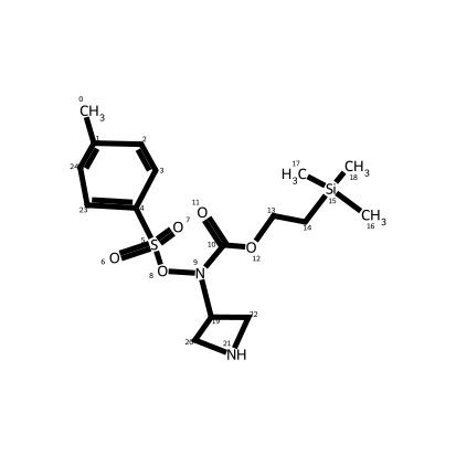 Cc1ccc(S(=O)(=O)ON(C(=O)OCC[Si](C)(C)C)C2CNC2)cc1